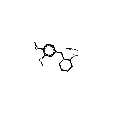 COc1ccc([C@H](CN)[C@@H]2CCCC[C@@H]2O)cc1OC